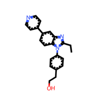 CCc1nc2cc(-c3ccncc3)ccc2n1-c1ccc(CCO)cc1